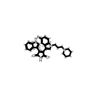 O=C1NC(=O)C(c2cn(CCCN3CCCCC3)c3ccc(F)cc23)=C1c1c[nH]c2ccccc12